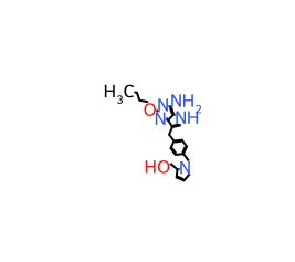 CCCCOc1nc(N)c2[nH]cc(Cc3ccc(CN4CC=CC4CO)cc3)c2n1